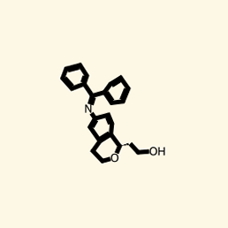 OCC[C@@H]1OCCc2cc(N=C(c3ccccc3)c3ccccc3)ccc21